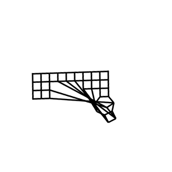 C1C2C3C4C5C6C7C8C9C4%10C4C%11CC%12C%13CC%14C%15C%16C%17C%18C%19C%20C1C21C35C62C%201C%191C72C82C%181C%171C%163C%155C%13%14C%12%11C45C%103C921